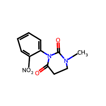 CN1CCC(=O)N(c2ccccc2[N+](=O)[O-])C1=O